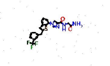 NC(=O)CNC(=O)c1cn(-c2cccc3cc(Cc4cccc(C(F)(F)F)c4)sc23)cn1